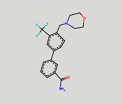 NC(=O)c1cccc(-c2ccc(CN3CCOCC3)c(C(F)(F)F)c2)c1